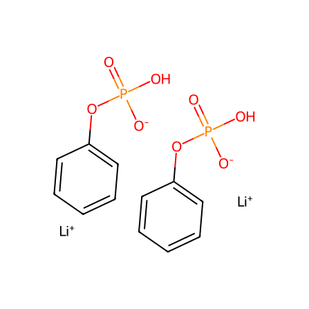 O=P([O-])(O)Oc1ccccc1.O=P([O-])(O)Oc1ccccc1.[Li+].[Li+]